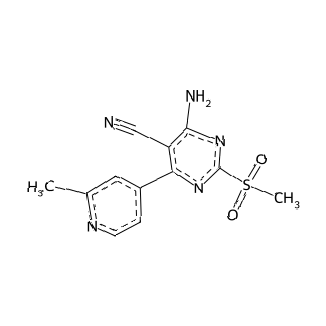 Cc1cc(-c2nc(S(C)(=O)=O)nc(N)c2C#N)ccn1